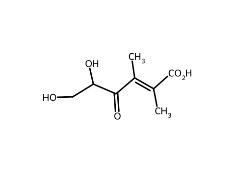 C/C(C(=O)O)=C(/C)C(=O)C(O)CO